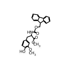 COC(=O)C(Cc1ccc(O)c(OC)c1)NC(=O)OCC1c2ccccc2-c2ccccc21